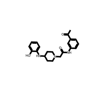 CC(=O)c1cccc(NC(=O)CN2CCC(Nc3ccccc3O)CC2)c1